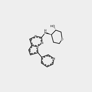 O[C@@H]1COCC[C@H]1Nc1ncc2ccc(-c3cccnc3)n2n1